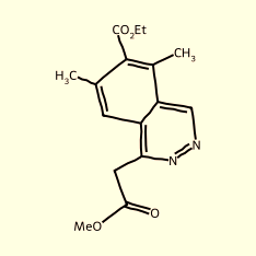 CCOC(=O)c1c(C)cc2c(CC(=O)OC)nncc2c1C